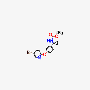 CC(C)(C)OC(=O)NC1(c2ccc(Oc3ccc(Br)cn3)cc2)CC1